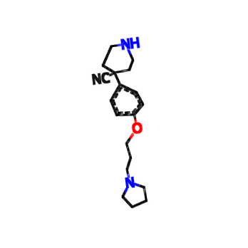 N#CC1(c2ccc(OCCCN3CCCC3)cc2)CCNCC1